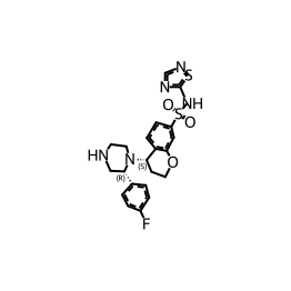 O=S(=O)(Nc1ncns1)c1ccc2c(c1)OCC[C@@H]2N1CCNC[C@H]1c1ccc(F)cc1